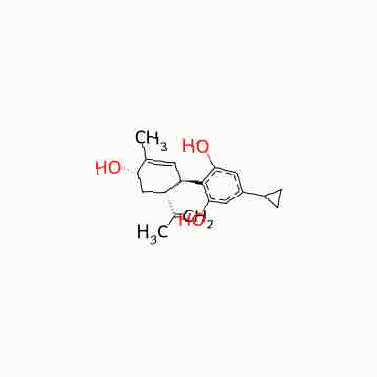 C=C(C)[C@@H]1C[C@H](O)C(C)=C[C@H]1c1c(O)cc(C2CC2)cc1O